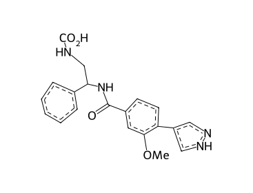 COc1cc(C(=O)NC(CNC(=O)O)c2ccccc2)ccc1-c1cn[nH]c1